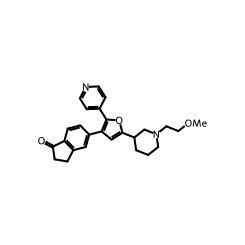 COCCN1CCCC(c2cc(-c3ccc4c(c3)CCC4=O)c(-c3ccncc3)o2)C1